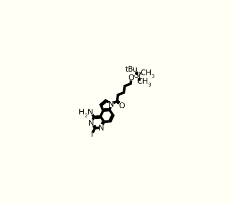 CC(C)(C)[Si](C)(C)OCCCCC(=O)n1ccc2c3c(N)nc(I)nc3ccc21